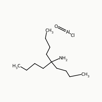 CCCCC(N)(CCCC)CCCC.[O]=[Al][Cl]